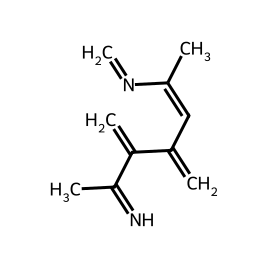 C=N/C(C)=C\C(=C)C(=C)C(C)=N